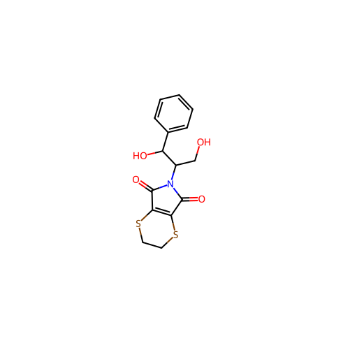 O=C1C2=C(SCCS2)C(=O)N1C(CO)C(O)c1ccccc1